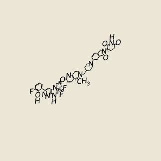 C[C@H]1c2ccc(O[C@H]3CN4c5cc(-c6cccc(F)c6O)nnc5NC[C@@]4(C(F)F)C3)nc2CCN1CC1CCN(c2ccc3c(c2)C(=O)N([C@H]2CCC(=O)NC2=O)C3)CC1